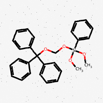 CO[Si](OC)(OCOC(c1ccccc1)(c1ccccc1)c1ccccc1)c1ccccc1